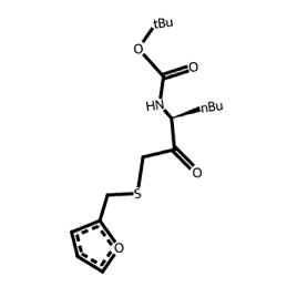 CCCC[C@H](NC(=O)OC(C)(C)C)C(=O)CSCc1ccco1